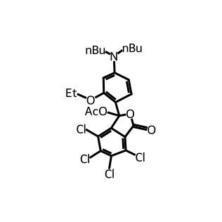 CCCCN(CCCC)c1ccc(C2(OC(C)=O)OC(=O)c3c(Cl)c(Cl)c(Cl)c(Cl)c32)c(OCC)c1